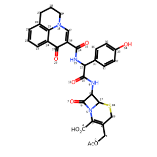 CC(=O)OCC1=C(C(=O)O)N2C(=O)C(NC(=O)C(NC(=O)c3cn4c5c(cccc5c3=O)CCC4)c3ccc(O)cc3)C2SC1